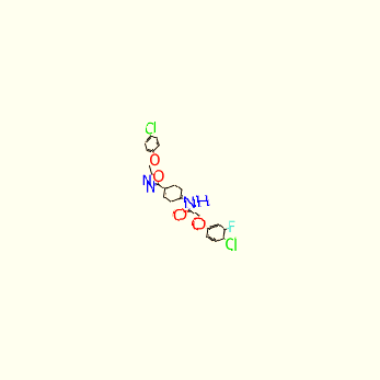 O=C(COc1ccc(Cl)c(F)c1)N[C@H]1CC[C@H](c2nnc(COc3ccc(Cl)cc3)o2)CC1